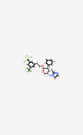 FC(F)(F)c1cc(CCO[C@H]2OCC[C@@H](Cc3ncc[nH]3)[C@@H]2c2ccccc2)cc(C(F)(F)F)c1